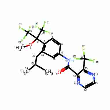 COC(c1ccc(NC(=O)c2nccnc2C(F)(F)F)cc1CC(C)C)(C(F)(F)F)C(F)(F)F